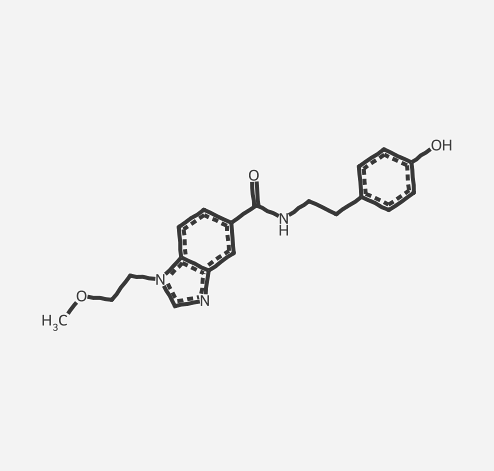 COCCn1cnc2cc(C(=O)NCCc3ccc(O)cc3)ccc21